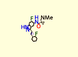 CNCC1(C(=O)Nc2cc3c(/C=C/c4ccccc4F)n[nH]c3cc2F)CC1